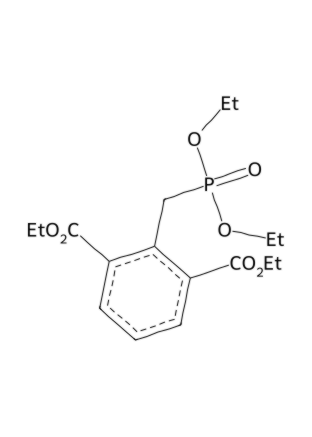 CCOC(=O)c1cccc(C(=O)OCC)c1CP(=O)(OCC)OCC